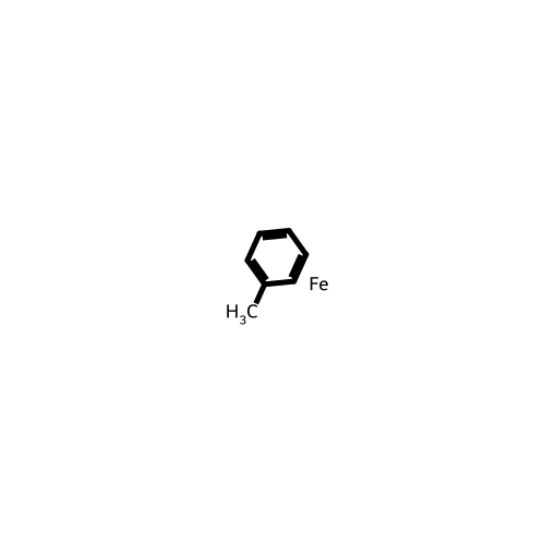 Cc1ccccc1.[Fe]